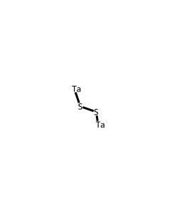 [Ta][S][S][Ta]